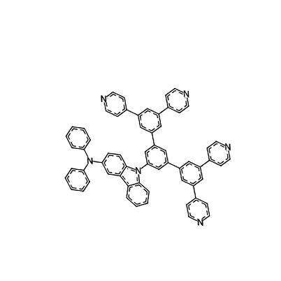 c1ccc(N(c2ccccc2)c2ccc3c(c2)c2ccccc2n3-c2cc(-c3cc(-c4ccncc4)cc(-c4ccncc4)c3)cc(-c3cc(-c4ccncc4)cc(-c4ccncc4)c3)c2)cc1